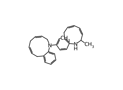 C\C=C(/C=C\C1=C\C/C=C\C=C/C(C)N1)N1C/C=C\C/C=C\Cc2ccccc21